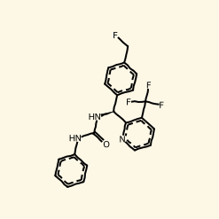 O=C(Nc1ccccc1)N[C@@H](c1ccc(CF)cc1)c1ncccc1C(F)(F)F